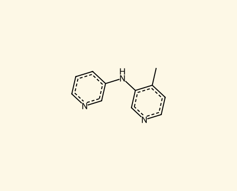 Cc1ccncc1Nc1cccnc1